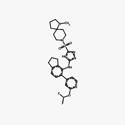 CN1CCCC12CCN(S(=O)(=O)c1nnc(Nc3c(-c4ccnc(OC(F)F)c4)ccc4c3CCC4)[nH]1)CC2